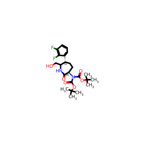 CC(C)(C)OC(=O)N(C(=O)OC(C)(C)C)[C@@H]1CC[C@@H](c2cccc(F)c2F)C(CO)NC1=O